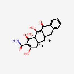 NC(=O)C1=C(O)C[C@@H]2C[C@@H]3Cc4ccccc4C(=O)C3=C(O)[C@]2(O)C1=O